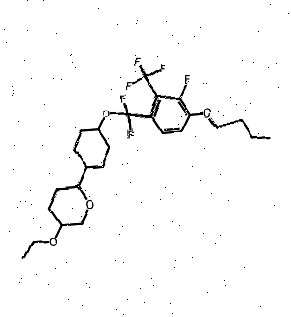 CCCCOc1ccc(C(F)(F)OC2CCC(C3CCC(OCC)CO3)CC2)c(C(F)(F)F)c1F